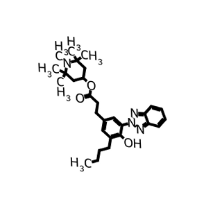 CCCCc1cc(CCC(=O)OC2CC(C)(C)N(C)C(C)(C)C2)cc(-n2nc3ccccc3n2)c1O